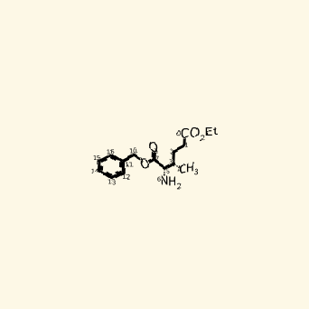 CCOC(=O)CC[C@H](C)[C@H](N)C(=O)OCc1ccccc1